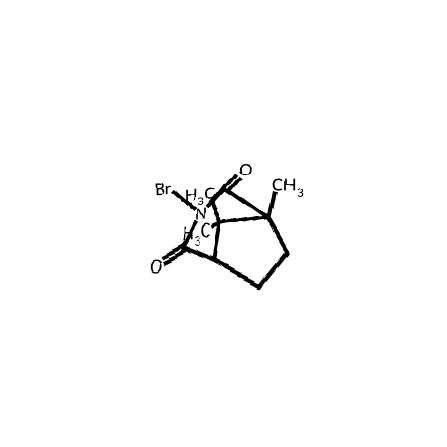 CC12CCC(C(=O)N(Br)C1=O)C2(C)C